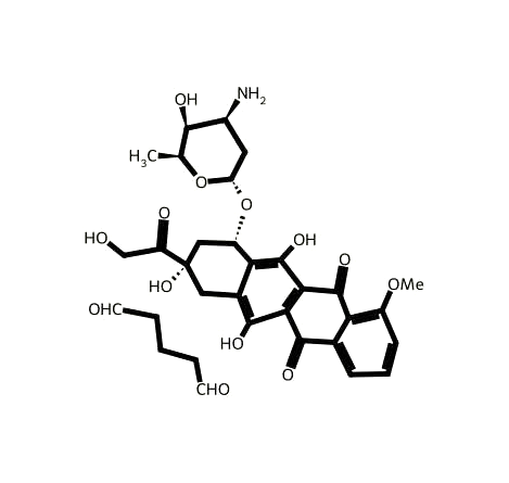 COc1cccc2c1C(=O)c1c(O)c3c(c(O)c1C2=O)C[C@@](O)(C(=O)CO)C[C@@H]3O[C@H]1C[C@H](N)[C@H](O)[C@H](C)O1.O=CCCCC=O